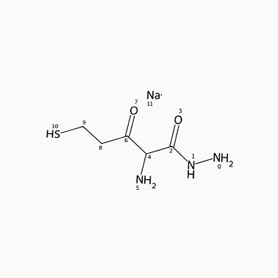 NNC(=O)C(N)C(=O)CCS.[Na]